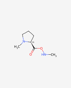 CNOC(=O)[C@@H]1CCCN1C